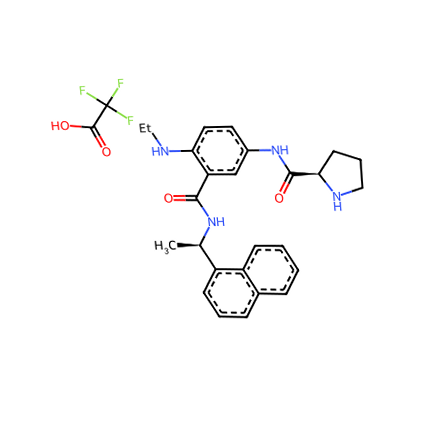 CCNc1ccc(NC(=O)[C@H]2CCCN2)cc1C(=O)N[C@H](C)c1cccc2ccccc12.O=C(O)C(F)(F)F